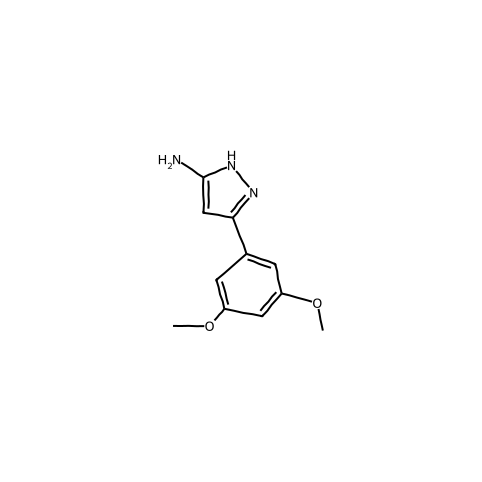 COc1cc(OC)cc(-c2cc(N)[nH]n2)c1